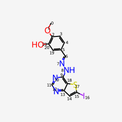 COc1ccc(C=NNc2ncnc3cc(I)sc23)cc1O